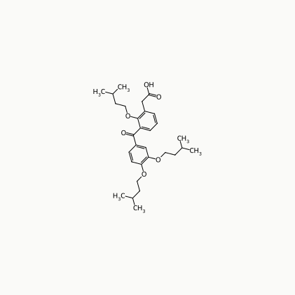 CC(C)CCOc1ccc(C(=O)c2cccc(CC(=O)O)c2OCCC(C)C)cc1OCCC(C)C